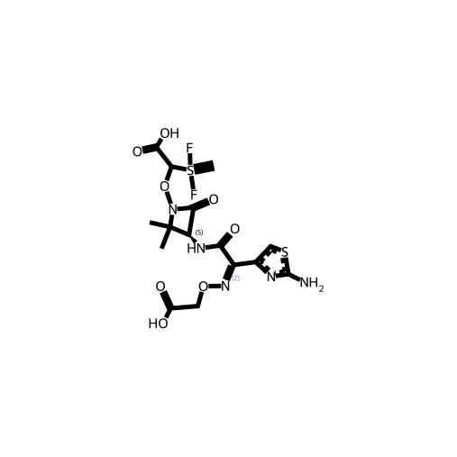 C#S(F)(F)C(ON1C(=O)[C@@H](NC(=O)/C(=N\OCC(=O)O)c2csc(N)n2)C1(C)C)C(=O)O